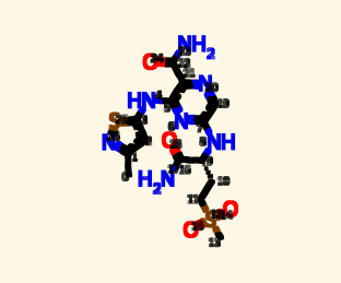 Cc1cc(Nc2nc(N[C@H](CCS(C)(=O)=O)C(N)=O)cnc2C(N)=O)sn1